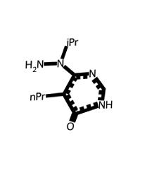 CCCc1c(N(N)C(C)C)nc[nH]c1=O